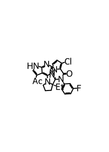 CC[C@@]1(c2nn3ccc(Cl)c3c(=O)n2-c2cccc(F)c2)CCCN1c1ncnc2[nH]cc(C(C)=O)c12